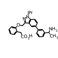 CC(C)n1nc(COc2ccccc2CC(=O)O)c2cc(-c3cccc([C@H](C)N)c3)ccc21